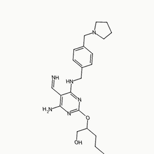 CCCC(CO)Oc1nc(N)c(C=N)c(NCc2ccc(CN3CCCC3)cc2)n1